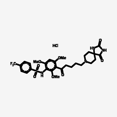 COc1cc(OC)c(C(=O)CCCCN2CCC3(CC2)NC(=O)NC3=O)c(OC)c1NS(=O)(=O)c1ccc(C(F)(F)F)cc1.Cl